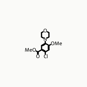 COC(=O)c1cc(N2CCOCC2)c(OC)cc1Cl